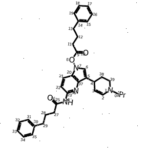 CC(C)N1C=CC(c2cn(OC(=O)CCCc3ccccc3)c3ccc(NC(=O)CCCc4ccccc4)nc23)CC1